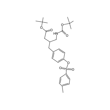 Cc1ccc(S(=O)(=O)Oc2ccc(CC(CNC(=O)OC(C)(C)C)CC(=O)OC(C)(C)C)cc2)cc1